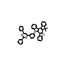 CC1(C)c2ccccc2-c2c1c1oc3ccccc3c1c1c2c2ccccc2n1-c1cccc(-c2cc(-c3ccccc3)nc(-c3ccccc3)n2)c1